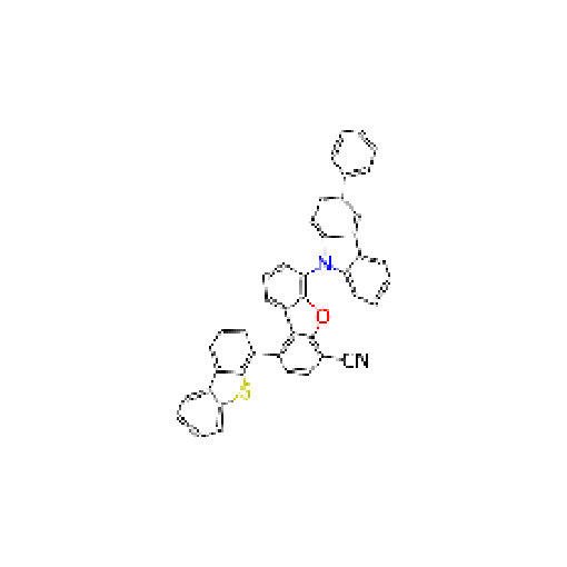 N#Cc1ccc(-c2cccc3c2sc2ccccc23)c2c1oc1c(-n3c4ccccc4c4cc(-c5ccccc5)ccc43)cccc12